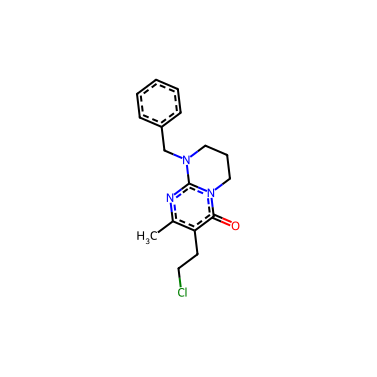 Cc1nc2n(c(=O)c1CCCl)CCCN2Cc1ccccc1